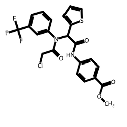 COC(=O)c1ccc(NC(=O)C(c2cccs2)N(C(=O)CCl)c2cccc(C(F)(F)F)c2)cc1